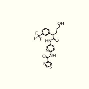 O=C(Nc1ccc(NC(=O)C(CCCO)c2cccc(C(F)(F)F)c2)cn1)c1cscn1